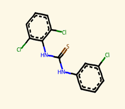 S=C(Nc1cccc(Cl)c1)Nc1c(Cl)cccc1Cl